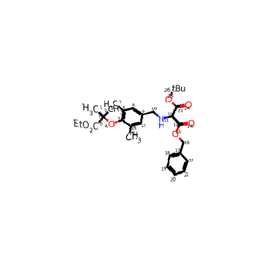 CCOC(=O)C(C)(C)Oc1c(C)cc(CNC(C(=O)OCc2ccccc2)C(=O)OC(C)(C)C)cc1C